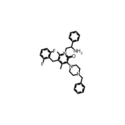 Cc1c(Cc2c(F)cccc2F)c(C)n(CC(N)c2ccccc2)c(=O)c1N1CCN(Cc2ccccc2)CC1